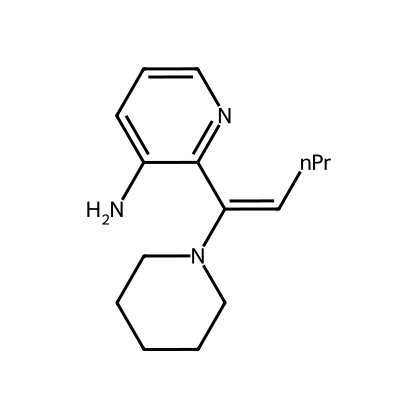 CCC/C=C(\c1ncccc1N)N1CCCCC1